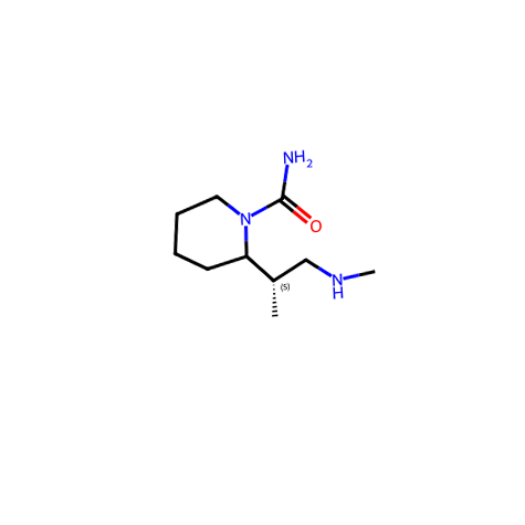 CNC[C@H](C)C1CCCCN1C(N)=O